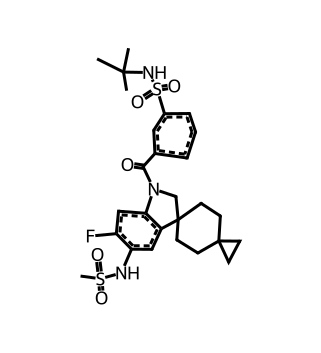 CC(C)(C)NS(=O)(=O)c1cccc(C(=O)N2CC3(CCC4(CC4)CC3)c3cc(NS(C)(=O)=O)c(F)cc32)c1